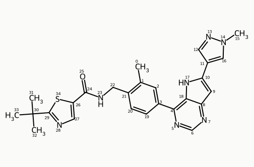 Cc1cc(-c2ncnc3cc(-c4cnn(C)c4)[nH]c23)ccc1CNC(=O)c1cnc(C(C)(C)C)s1